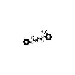 Cc1ccccc1OC(=O)N=NC(=O)Oc1ccccc1